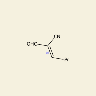 CC(C)/C=C(\C#N)C=O